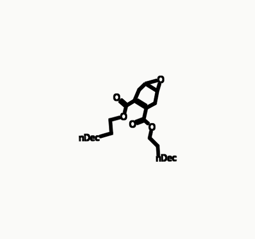 CCCCCCCCCCCCOC(=O)C1=C(C(=O)OCCCCCCCCCCCC)CC2OC2C1